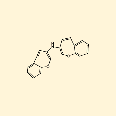 C1=Cc2ccccc2OC=C1NC1=COc2ccccc2C=C1